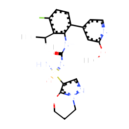 COc1cc(-c2ccc(F)c(C(C)C)c2NC(=O)N=S(N)(=O)c2cnn3c2OCCC3)ccn1